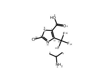 CC(C)N.O=C(O)c1sc(Cl)nc1C(F)(F)F